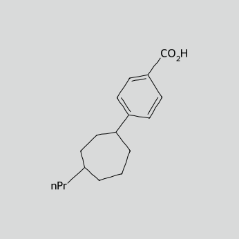 CCCC1CCCC(c2ccc(C(=O)O)cc2)CC1